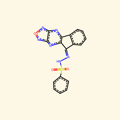 O=S(=O)(N/N=C1/c2ccccc2-c2nc3nonc3nc21)c1ccccc1